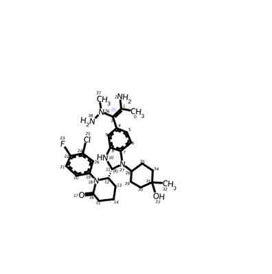 C/C(N)=C(\c1ccc2c(c1)N[C@@H](C1CCCC(=O)N1c1ccc(F)c(Cl)c1)N2C1CCC(C)(O)CC1)N(C)N